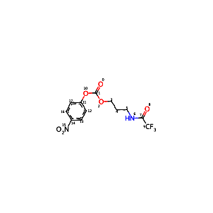 O=C(OCCCNC(=O)C(F)(F)F)Oc1ccc([N+](=O)[O-])cc1